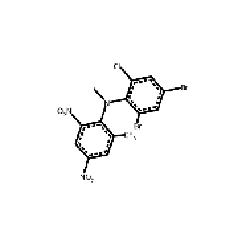 CN(c1c(Cl)cc(Br)cc1Br)c1c([N+](=O)[O-])cc([N+](=O)[O-])cc1C(F)(F)F